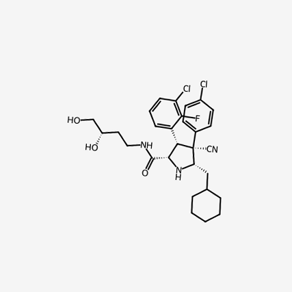 N#C[C@]1(c2ccc(Cl)cc2)[C@H](CC2CCCCC2)N[C@H](C(=O)NCC[C@H](O)CO)[C@@H]1c1cccc(Cl)c1F